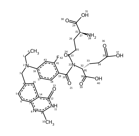 CCN(Cc1ccc2nc(C)[nH]c(=O)c2c1)c1ccc(C(=O)N(C(=O)CC[C@H](N)C(=O)O)[C@H](CCC(=O)O)C(=O)O)c(F)c1